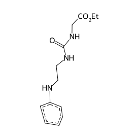 CCOC(=O)CNC(=O)NCCNc1ccccc1